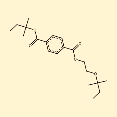 CCC(C)(C)OCCOC(=O)c1ccc(C(=O)OC(C)(C)CC)cc1